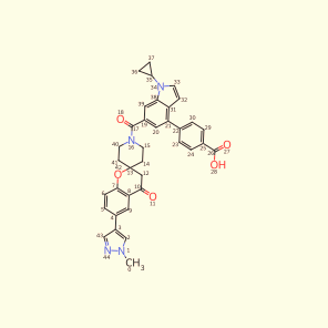 Cn1cc(-c2ccc3c(c2)C(=O)CC2(CCN(C(=O)c4cc(-c5ccc(C(=O)O)cc5)c5ccn(C6CC6)c5c4)CC2)O3)cn1